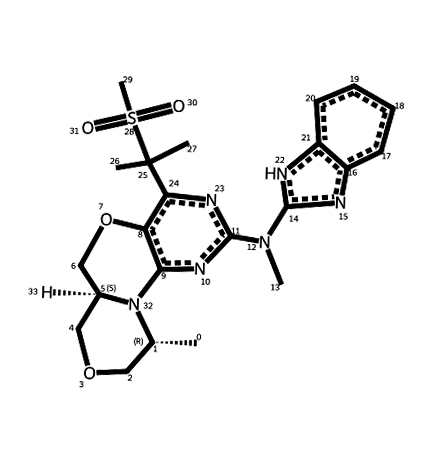 C[C@@H]1COC[C@H]2COc3c(nc(N(C)c4nc5ccccc5[nH]4)nc3C(C)(C)S(C)(=O)=O)N21